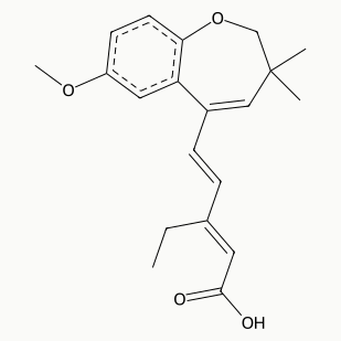 CCC(/C=C/C1=CC(C)(C)COc2ccc(OC)cc21)=C\C(=O)O